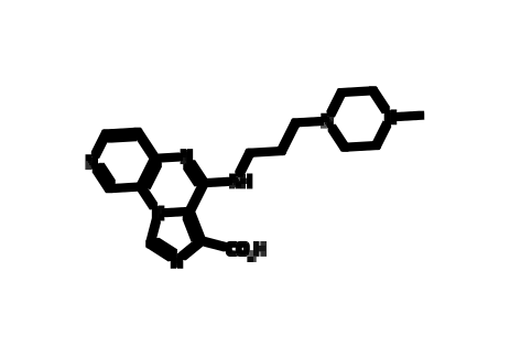 CN1CCN(CCCNc2nc3ccncc3n3cnc(C(=O)O)c23)CC1